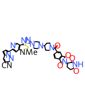 CNc1cc(-c2ccc3cc(C#N)cnn23)ncc1-c1nnc(N2CCN(C3CCN(C(=O)c4ccc5c(c4)C(=O)N(C4CCC(=O)NC4=O)C5=O)CC3)CC2)s1